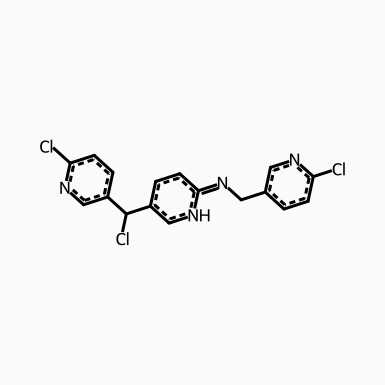 Clc1ccc(CN=c2ccc(C(Cl)c3ccc(Cl)nc3)c[nH]2)cn1